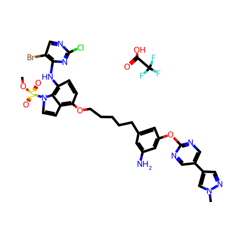 COS(=O)(=O)n1ccc2c(OCCCCCc3cc(N)cc(Oc4ncc(-c5cnn(C)c5)cn4)c3)ccc(Nc3nc(Cl)ncc3Br)c21.O=C(O)C(F)(F)F